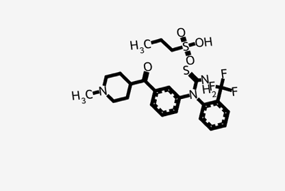 CCCS(=O)(=O)O.CN1CCC(C(=O)c2cccc(N(C(N)=S)c3ccccc3C(F)(F)F)c2)CC1